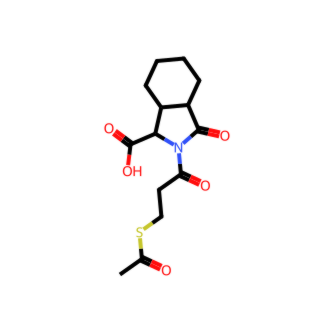 CC(=O)SCCC(=O)N1C(=O)C2CCCCC2C1C(=O)O